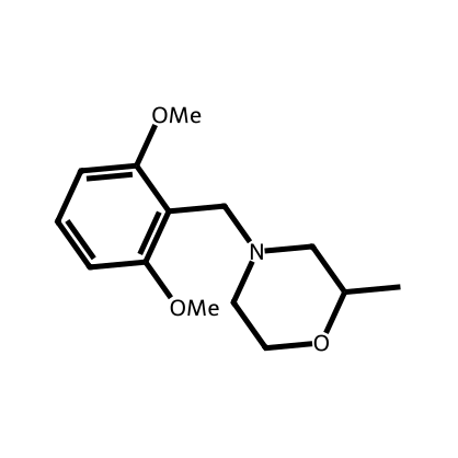 COc1cccc(OC)c1CN1CCOC(C)C1